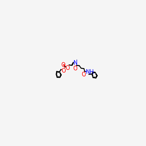 CN(/C=C/COC(=O)OCc1ccccc1)C(=O)CCCC(=O)NCc1ccccc1